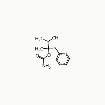 CC(C)C(C)(Cc1ccccc1)OC(N)=O